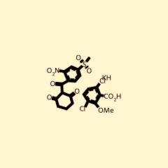 COc1c(Cl)ccc(Cl)c1C(=O)O.CS(=O)(=O)c1ccc(C(=O)C2C(=O)CCCC2=O)c([N+](=O)[O-])c1.[KH]